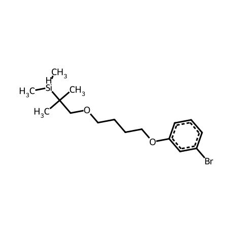 C[SiH](C)C(C)(C)COCCCCOc1cccc(Br)c1